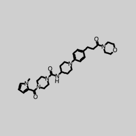 Cn1cccc1C(=O)N1CCN(C(=O)NC2CCN(c3ccc(CCC(=O)N4CCOCC4)cc3)CC2)CC1